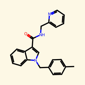 Cc1ccc(Cn2cc(C(=O)NCc3ccccn3)c3ccccc32)cc1